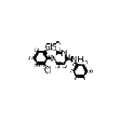 CSC1N=C(Nc2ccccc2)C=CN1c1c(Cl)cccc1Cl